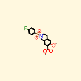 COC(=O)c1cc2c(cc1OC)CCN(S(=O)(=O)c1ccc(F)cc1)C2